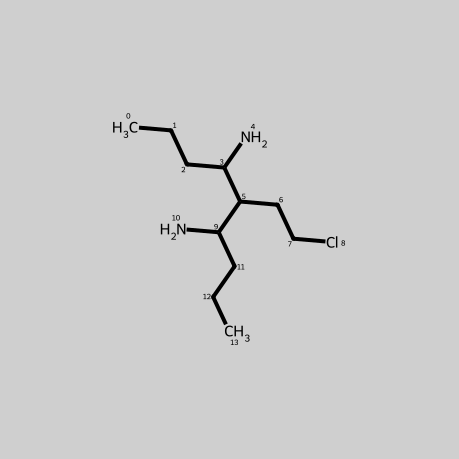 CCCC(N)C(CCCl)C(N)CCC